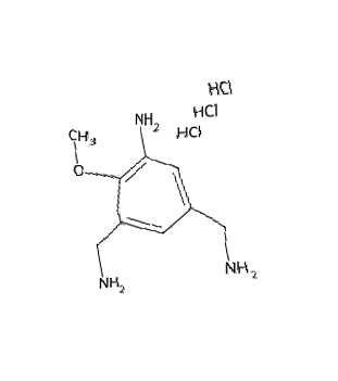 COc1c(N)cc(CN)cc1CN.Cl.Cl.Cl